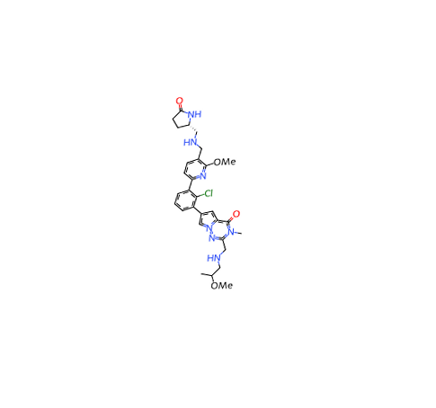 COc1nc(-c2cccc(-c3cc4c(=O)n(C)c(CNCC(C)OC)nn4c3)c2Cl)ccc1CNC[C@@H]1CCC(=O)N1